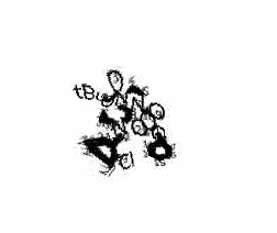 CC(C)(C)OC(=O)N1CCN(C(=O)OCc2ccccc2)C(C(=O)N(Cc2ccccc2Cl)C2CC2)C1